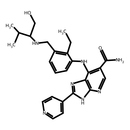 CCc1c(CNC(CO)C(C)C)cccc1Nc1c(C(N)=O)cnc2[nH]c(-c3ccncc3)nc12